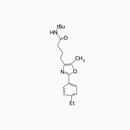 CCc1ccc(-c2nc(CCCC(=O)NC(C)(C)C)c(C)o2)cc1